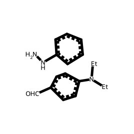 CCN(CC)c1ccc(C=O)cc1.NNc1ccccc1